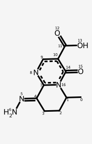 CC1CCC(=NN)c2ncc(C(=O)O)c(=O)n21